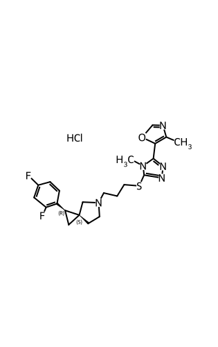 Cc1ncoc1-c1nnc(SCCCN2CC[C@]3(C[C@H]3c3ccc(F)cc3F)C2)n1C.Cl